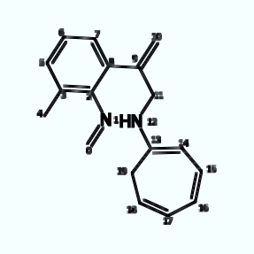 C=Nc1c(C)cccc1C(=C)CNC1=CC=CC=CC1